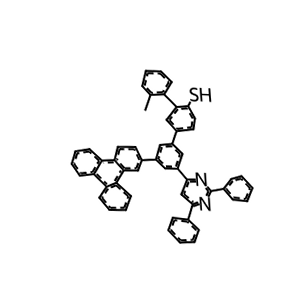 Cc1ccccc1-c1cc(-c2cc(-c3ccc4c5ccccc5c5ccccc5c4c3)cc(-c3cc(-c4ccccc4)nc(-c4ccccc4)n3)c2)ccc1S